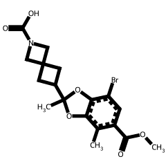 COC(=O)c1cc(Br)c2c(c1C)OC(C)(C1CC3(C1)CN(C(=O)O)C3)O2